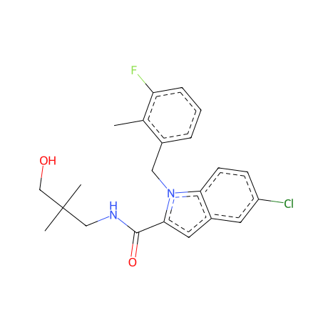 Cc1c(F)cccc1Cn1c(C(=O)NCC(C)(C)CO)cc2cc(Cl)ccc21